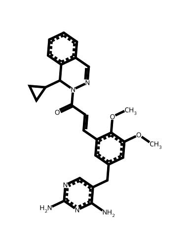 COc1cc(Cc2cnc(N)nc2N)cc(C=CC(=O)N2N=Cc3ccccc3C2C2CC2)c1OC